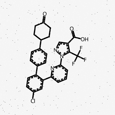 O=C1CCC(c2ccc(-c3ccc(Cl)cc3-c3cccc(-n4ncc(C(=O)O)c4C(F)(F)F)n3)cc2)CC1